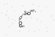 O=C(NCC1C2CN(Cc3ccc4[nH]ccc4c3)CC12)c1cccc(OC(F)(F)F)c1